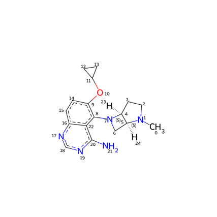 CN1CC[C@H]2[C@@H]1CN2c1c(OC2CC2)ccc2ncnc(N)c12